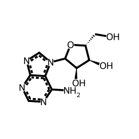 Nc1ncnc2ncn(C3O[C@H](CO)[C@@H](O)[C@H]3O)c12